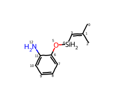 CC(C)=C[SiH2]Oc1ccccc1N